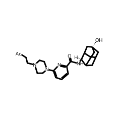 CC(=O)CCN1CCN(c2cccc(C(=O)N[C@H]3C4CC5CC3C[C@](O)(C5)C4)n2)CC1